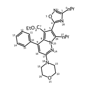 CCCc1noc(-c2c(C(=O)OCC)c3c(-c4ccccc4)cc(N4CCOCC4)nn3c2CCC)n1